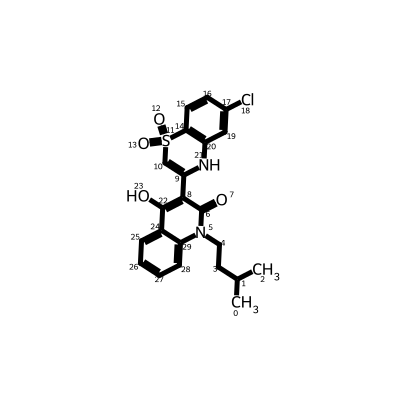 CC(C)CCn1c(=O)c(C2=CS(=O)(=O)c3ccc(Cl)cc3N2)c(O)c2ccccc21